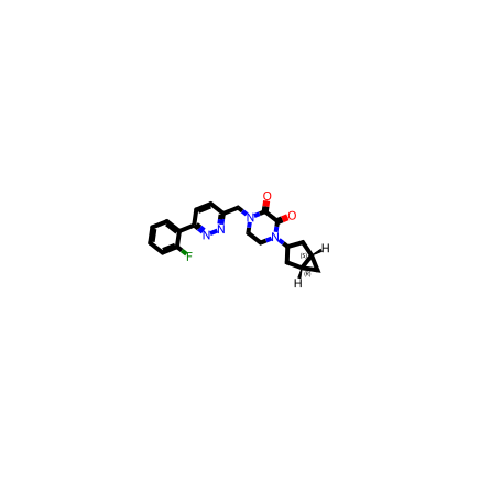 O=C1C(=O)N(C2C[C@@H]3C[C@@H]3C2)CCN1Cc1ccc(-c2ccccc2F)nn1